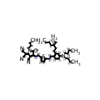 CCCCC(CC)CCc1cc(N(CCCC)CCCC)ccc1/C=C/c1ccc(/C=C/C2=C(C#N)C(=C(C#N)C#N)N(CCCC)C2=O)s1